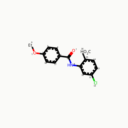 CCOc1ccc(C(=O)Nc2cc(Cl)ccc2C(=O)O)cc1